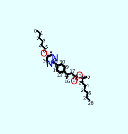 CCCCCCOc1cnc(-c2ccc(C(C)CC(=O)OC(C)CCCCCC)cc2)nc1